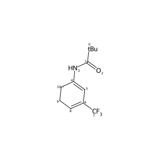 CC(C)(C)C(=O)NC1=CC(C(F)(F)F)=CC[CH]1